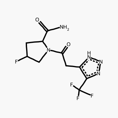 NC(=O)C1CC(F)CN1C(=O)Cc1[nH]nnc1C(F)(F)F